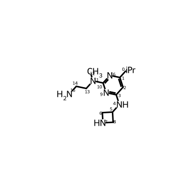 CC(C)c1cc(NC2CNC2)nc(N(C)CCN)n1